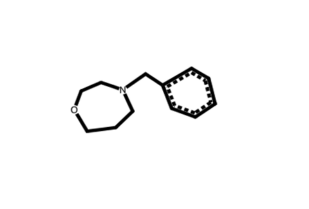 c1ccc(CN2CCCOCC2)cc1